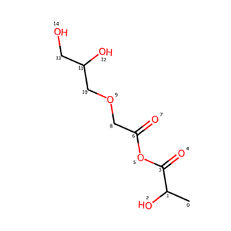 CC(O)C(=O)OC(=O)COCC(O)CO